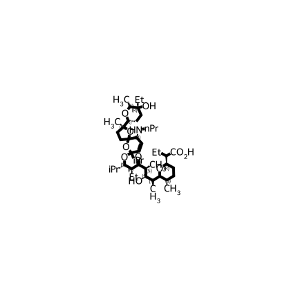 CCCN[C@@H]1C=CC(O[C@@H](C(C)C)[C@@H](CC)C(=O)[C@@H](C)[C@@H](O)[C@H](C)C2O[C@@H](C(CC)C(=O)O)CC[C@@H]2C)(C(C)C)OC12CC[C@@](C)([C@H]1CC[C@](O)(CC)[C@H](C)O1)O2